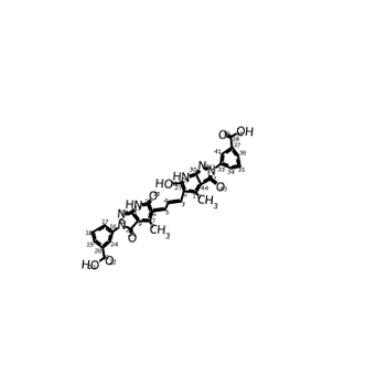 Cc1c(C=CC=c2c(C)c3c([nH]c2=O)=NN(c2cccc(C(=O)O)c2)C3=O)c(O)[nH]c2nn(-c3cccc(C(=O)O)c3)c(=O)c1-2